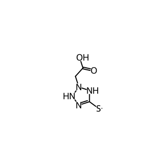 O=C(O)CN1NN=C([S])N1